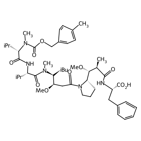 CC[C@H](C)[C@@H]([C@@H](CC(=O)N1CCC[C@H]1[C@H](OC)[C@@H](C)C(=O)N[C@@H](Cc1ccccc1)C(=O)O)OC)N(C)C(=O)[C@@H](NC(=O)[C@H](C(C)C)N(C)C(=O)OCc1ccc(C)cc1)C(C)C